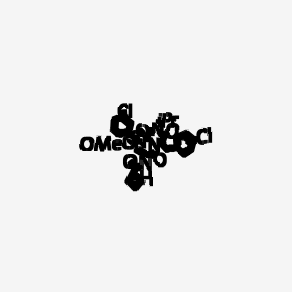 COc1ccc(Cl)cc1S(=O)(=O)N1CC(NC(=O)C2CCC2)C(=O)N2C(Cc3ccc(Cl)cc3)C(=O)N(C(C)C)CC21